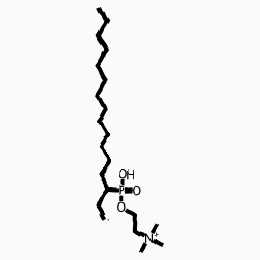 [CH2]CC(CCCCCCCCCCCCC)P(=O)(O)OCC[N+](C)(C)C